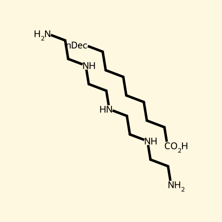 CCCCCCCCCCCCCCCCCC(=O)O.NCCNCCNCCNCCN